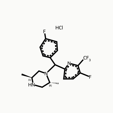 C[C@@H]1CN[C@@H](C)CN1C(c1ccc(F)cc1)c1ccc(F)c(C(F)(F)F)n1.Cl